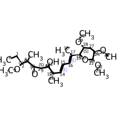 CC[C@H](OC)[C@@H](C)[C@@H]1O[C@H]1[C@H](O)[C@@H](C)/C=C/C=C(\C)[C@@H]1O[C@@H](OC)[C@H](OC)C[C@@H]1OC